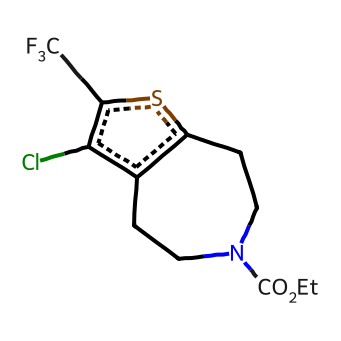 CCOC(=O)N1CCc2sc(C(F)(F)F)c(Cl)c2CC1